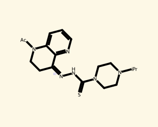 CC(=O)N1CC/C(=N/NC(=S)N2CCN(C(C)C)CC2)c2ncccc21